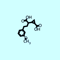 COc1cccc(CCC(C(=O)O)C2CC2C(=O)O)c1